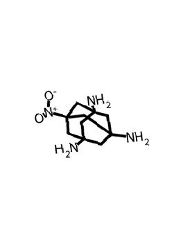 NC12CC3(N)CC(N)(C1)CC([N+](=O)[O-])(C2)C3